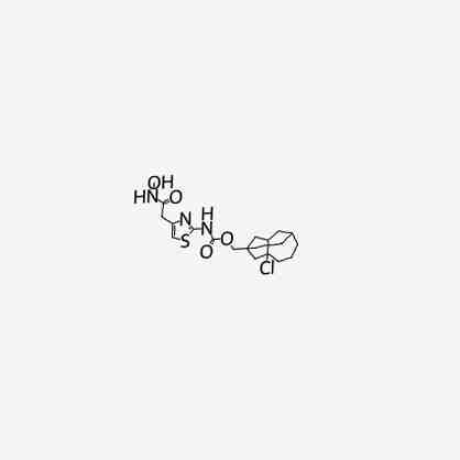 O=C(Cc1csc(NC(=O)OCC23CC4CCCC(Cl)(C2)C(C4)C3)n1)NO